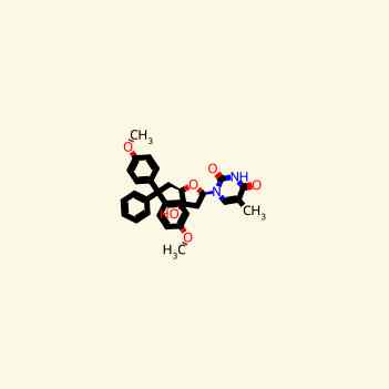 COc1ccc(C(C[C@H]2O[C@@H](n3cc(C)c(=O)[nH]c3=O)C[C@@H]2O)(c2ccccc2)c2ccc(OC)cc2)cc1